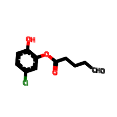 O=CCCCC(=O)Oc1cc(Cl)ccc1O